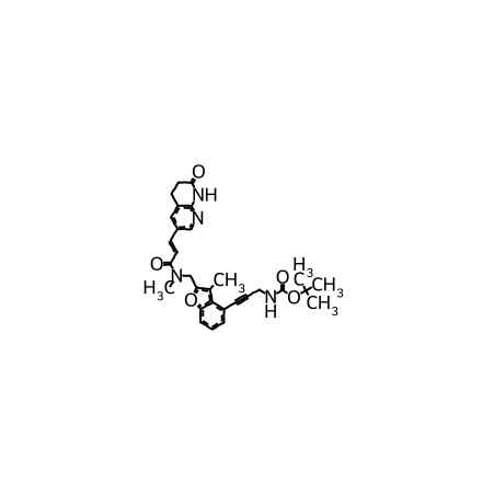 Cc1c(CN(C)C(=O)/C=C/c2cnc3c(c2)CCC(=O)N3)oc2cccc(C#CCNC(=O)OC(C)(C)C)c12